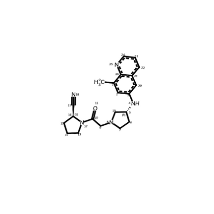 Cc1cc(N[C@@H]2CCN(CC(=O)N3CCC[C@H]3C#N)C2)cc2cccnc12